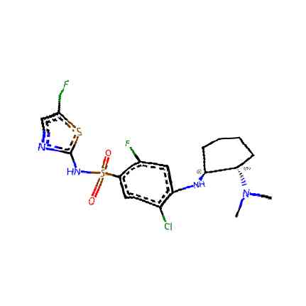 CN(C)[C@H]1CCCC[C@@H]1Nc1cc(F)c(S(=O)(=O)Nc2ncc(F)s2)cc1Cl